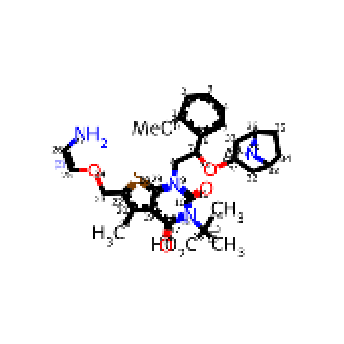 COc1ccccc1C(Cn1c(=O)n(C(C)(C)C(=O)O)c(=O)c2c(C)c(CO/C=C\N)sc21)OC1CC2CCC(C1)N2C(C)=O